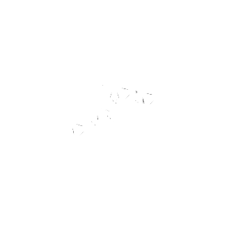 CC(=O)c1cn(CC(=O)N2C[C@H](F)C[C@H]2C(=O)NCc2cccc(C)c2F)c2cc(P(=O)(O)c3ccccc3)ccc12